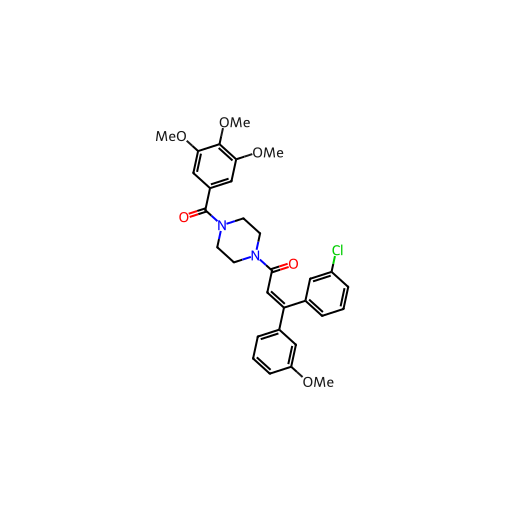 COc1cccc(/C(=C/C(=O)N2CCN(C(=O)c3cc(OC)c(OC)c(OC)c3)CC2)c2cccc(Cl)c2)c1